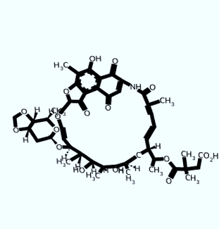 C/C1=C/C=C/[C@H](C(C)OC(=O)C(C)(C)CC(=O)O)C[C@@H](C)[C@@H](O)[C@@H](C)[C@H](O)[C@H](C)[C@@H](O[C@H]2C[C@@H]3OCO[C@@H]3[C@@H](C)O2)/C=C/O[C@@]2(C)Oc3c(C)c(O)c4c(c3C2=O)C(=O)C=C(NC1=O)C4=O